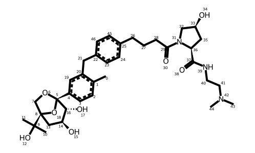 Cc1ccc([C@@]23OC[C@@](C(C)(C)O)(C[C@H](O)[C@H]2O)O3)cc1Cc1ccc(CCCC(=O)N2C[C@@H](O)C[C@H]2C(=O)NCCN(C)C)cc1